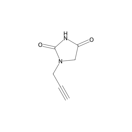 C#CCN1CC(=O)NC1=O